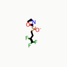 [O-][S+](CCC(F)=C(F)F)c1ncco1